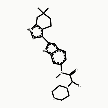 CCC(C(=O)N(C)c1ccc2cc(-c3n[nH]c4c3CCC(C)(C)C4)[nH]c2c1)N1CCOCC1